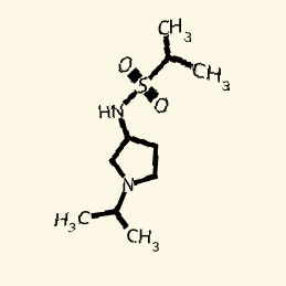 CC(C)N1CCC(NS(=O)(=O)C(C)C)C1